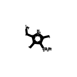 CCOC(=O)c1c(C)[nH]c(CC(C)C)c1C